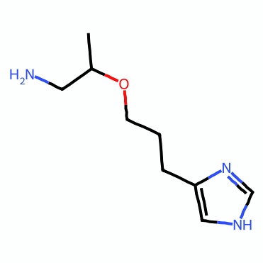 CC(CN)OCCCc1c[nH]cn1